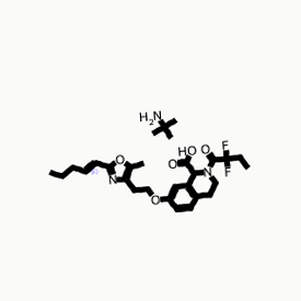 CC(C)(C)N.CCC/C=C/c1nc(CCOc2ccc3c(c2)C(C(=O)O)N(C(=O)C(F)(F)CC)CC3)c(C)o1